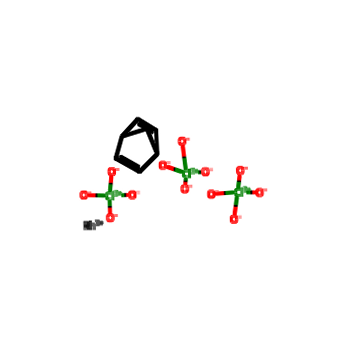 C1=CC2C=CC1C2.[O-][Cl+3]([O-])([O-])[O-].[O-][Cl+3]([O-])([O-])[O-].[O-][Cl+3]([O-])([O-])[O-].[Rh+3]